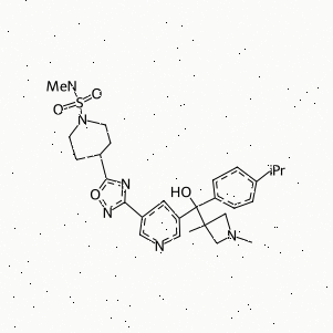 CNS(=O)(=O)N1CCC(c2nc(-c3cncc(C(O)(c4ccc(C(C)C)cc4)C4(C)CN(C)C4)c3)no2)CC1